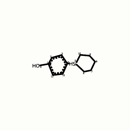 Oc1ccc([SiH]2CCCCC2)cc1